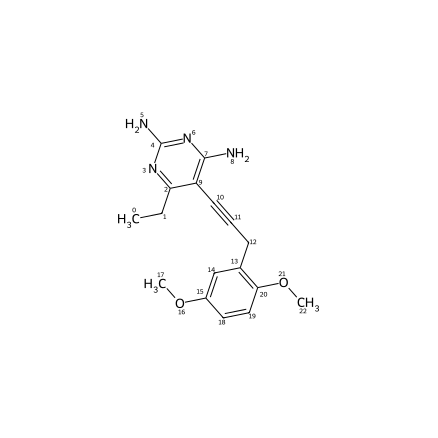 CCc1nc(N)nc(N)c1C#CCc1cc(OC)ccc1OC